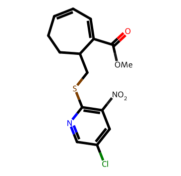 COC(=O)C1=CC=CCCC1CSc1ncc(Cl)cc1[N+](=O)[O-]